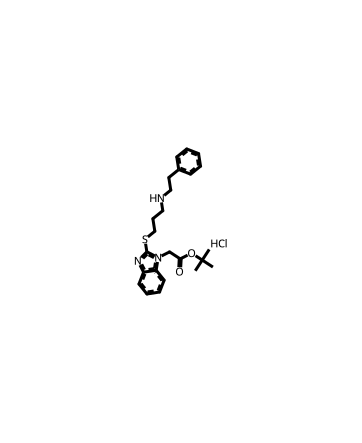 CC(C)(C)OC(=O)Cn1c(SCCCNCCc2ccccc2)nc2ccccc21.Cl